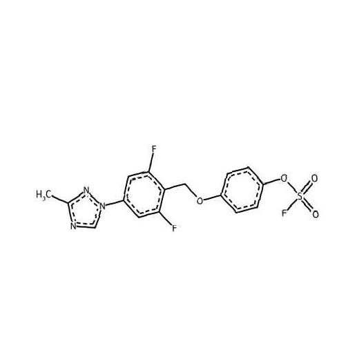 Cc1ncn(-c2cc(F)c(COc3ccc(OS(=O)(=O)F)cc3)c(F)c2)n1